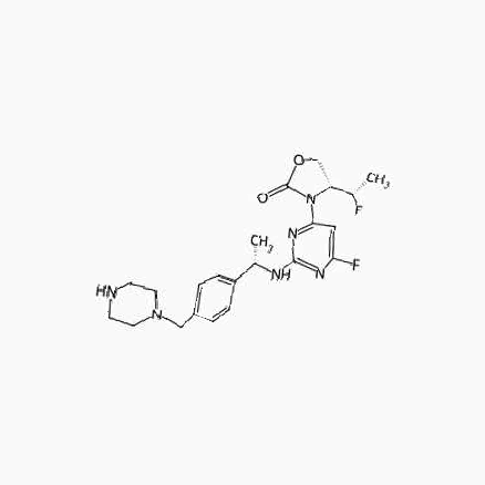 C[C@H](Nc1nc(F)cc(N2C(=O)OC[C@@H]2[C@H](C)F)n1)c1ccc(CN2CCNCC2)cc1